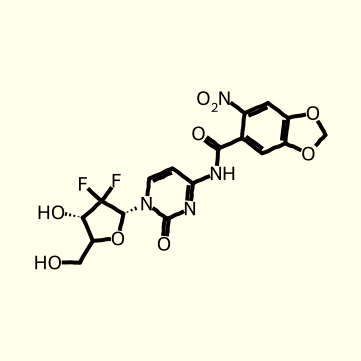 O=C(Nc1ccn([C@@H]2OC(CO)[C@H](O)C2(F)F)c(=O)n1)c1cc2c(cc1[N+](=O)[O-])OCO2